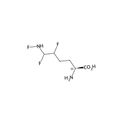 N[C@@H](CCC(F)C(F)NF)C(=O)O